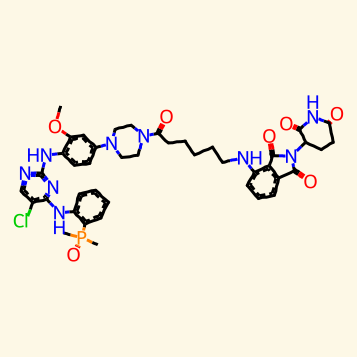 COc1cc(N2CCN(C(=O)CCCCCNc3cccc4c3C(=O)N(C3CCC(=O)NC3=O)C4=O)CC2)ccc1Nc1ncc(Cl)c(Nc2ccccc2P(C)(C)=O)n1